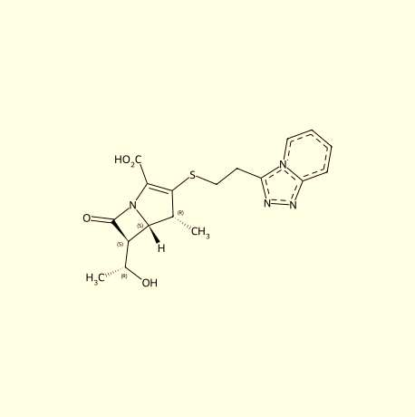 C[C@@H](O)[C@H]1C(=O)N2C(C(=O)O)=C(SCCc3nnc4ccccn34)[C@H](C)[C@H]12